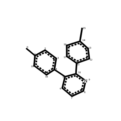 Cc1ccc(-c2cccnc2-c2ccc(C)cc2)cc1